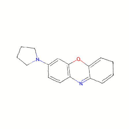 C1=CC2=Nc3ccc(N4CCCC4)cc3OC2=CC1